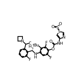 CC(c1cccc(F)c1CNc1cc(F)c(OC(=O)NC2=CS(=S(=O)=O)C=N2)c(F)c1C(C)(C)C)N1CCC1